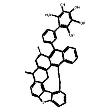 Bc1c(O)c(O)c(O)c(O)c1-c1cccc(-c2c3c4c(c5ccccc25)-c2cccc5oc6ccc7c(c6c25)CC4=C(C[C@H]3C)C7C)c1